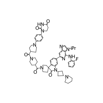 CC(C)n1cnc2cc(-c3ccc4c(c3)N([C@H]3C[C@@H](N5CCCCC5)C3)C(=O)C43CCN(C(=O)C4CCN(C(=O)C5CCN(c6ccc(N7CCC(=O)NC7=O)cc6)CC5)CC4)CC3)nc(Nc3ccccc3F)c21